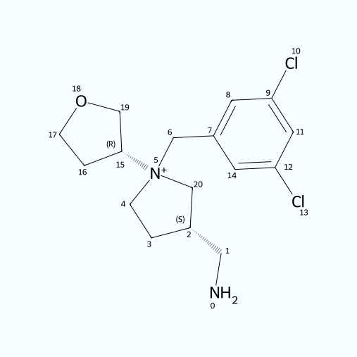 NC[C@@H]1CC[N+](Cc2cc(Cl)cc(Cl)c2)([C@@H]2CCOC2)C1